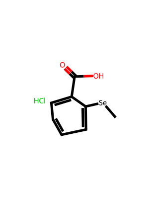 C[Se]c1ccccc1C(=O)O.Cl